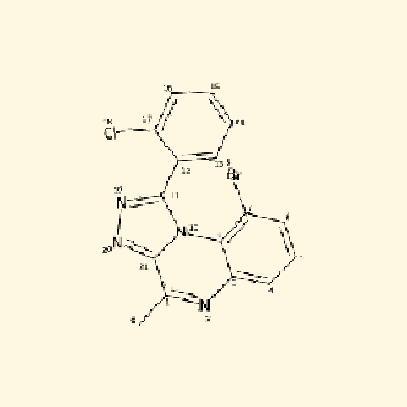 Cc1nc2cccc(Br)c2n2c(-c3ccccc3Cl)nnc12